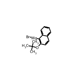 CC(C)(C)Oc1ccc2ccccc2[c]1[Mg][Br]